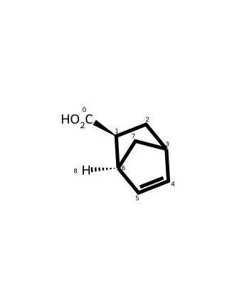 O=C(O)[C@H]1CC2C=C[C@@H]1C2